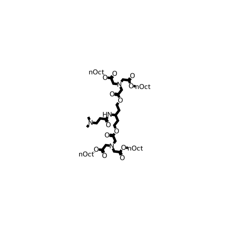 CCCCCCCCOC(=O)CN(CC(=O)OCCCCCCCC)CC(=O)OCCC(CCOC(=O)CN(CC(=O)OCCCCCCCC)CC(=O)OCCCCCCCC)NC(=O)CCN(C)C